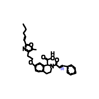 CCCC=Cc1nc(CCOc2ccc3c(c2)C(C(=O)O)N(C(=O)/C=C/c2ccccc2)CC3)c(C)o1